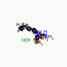 CNCCCC(=O)N(c1nc2ccc(-c3ccc(NC(=O)[C@H](C)c4ccc(F)cc4)cc3)cn2n1)c1ccc(S(C)(=O)=O)cc1OC.Cl